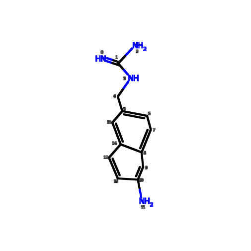 N=C(N)NCc1ccc2cc(N)ccc2c1